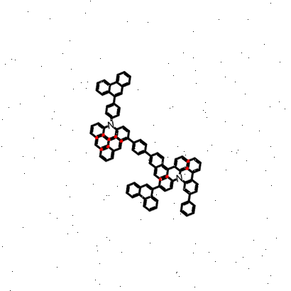 c1ccc(-c2ccc(-c3ccccc3)c(N(c3ccc(-c4cc5ccccc5c5ccccc45)cc3)c3ccccc3-c3cccc4cc(-c5ccc(-c6ccc(N(c7ccc(-c8cc9ccccc9c9ccccc89)cc7)c7ccccc7-c7cccc8ccccc78)c(-c7ccccc7)c6)cc5)ccc34)c2)cc1